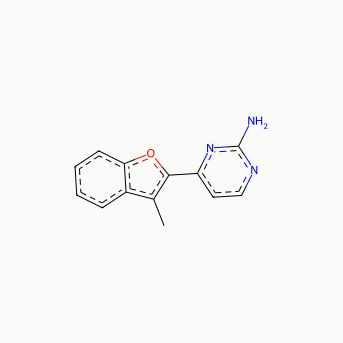 Cc1c(-c2ccnc(N)n2)oc2ccccc12